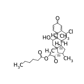 CCCCCC(=O)OCC(=O)[C@H]1C(C)C[C@H]2[C@@H]3CC(Cl)C4=CC(=O)C=C[C@]4(C)[C@H]3C(O)C[C@]12C